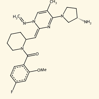 C=NN1C=C(C)C(N2CC[C@H](N)C2)=N/C1=C/C1CCCCN1C(=O)c1ccc(F)cc1OC